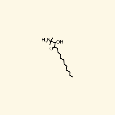 CCCCCCCCCCCC(=O)C(O)C(C)(C)N